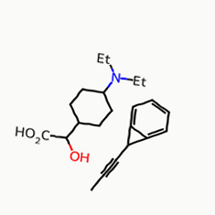 CC#CC1c2ccccc21.CCN(CC)C1CCC(C(O)C(=O)O)CC1